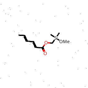 C/C=C/C=C/C(=O)OC[Si](C)(C)OC